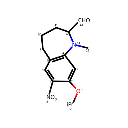 CC(C)Oc1cc2c(cc1[N+](=O)[O-])CCCC(C=O)N2C